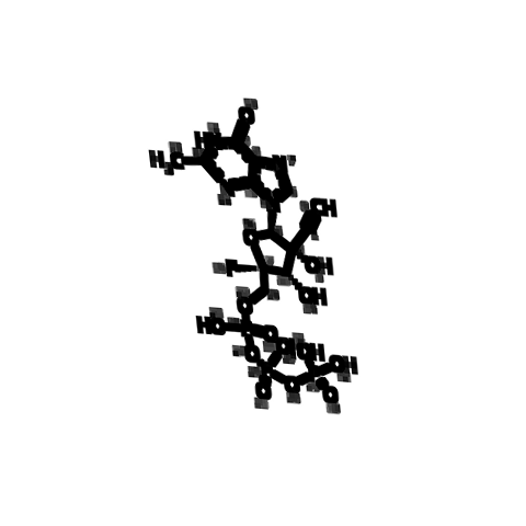 C#C[C@]1(O)[C@H](n2cnc3c(=O)[nH]c(C)nc32)O[C@](F)(COP(=O)(O)OP(=O)(O)OP(=O)(O)O)[C@H]1O